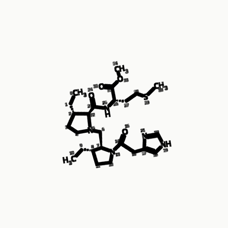 CC[C@H]1CCN(C[C@@H]2[C@@H](CC)CCN2C(=O)Cc2c[nH]cn2)[C@@H]1C(=O)N[C@@H](CCSC)C(=O)OC